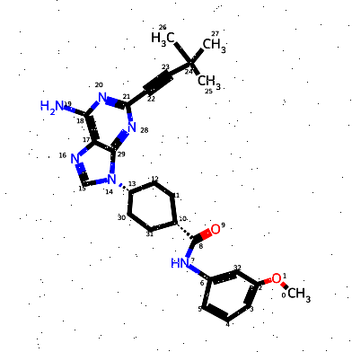 COc1cccc(NC(=O)[C@H]2CC[C@@H](n3cnc4c(N)nc(C#CC(C)(C)C)nc43)CC2)c1